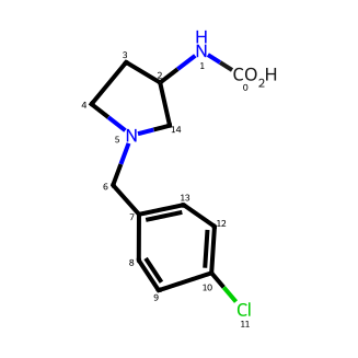 O=C(O)NC1CCN(Cc2ccc(Cl)cc2)C1